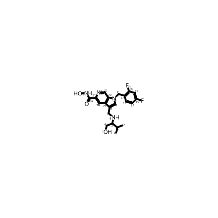 CC(C)C(CO)NCc1cn(Cc2ccc(F)cc2F)c2cnc(C(=O)NO)cc12